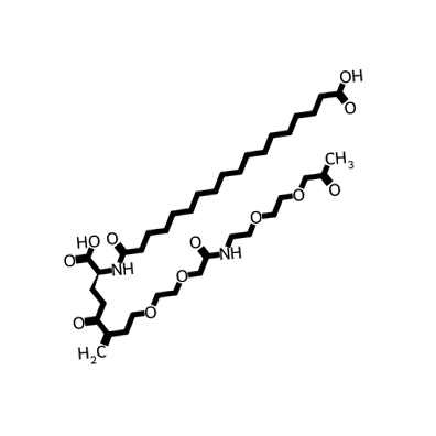 C=C(CCOCCOCC(=O)NCCOCCOCC(C)=O)C(=O)CC[C@H](NC(=O)CCCCCCCCCCCCCCCCC(=O)O)C(=O)O